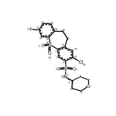 O=S(=O)(NC1CCOCC1)c1cc2c(cc1Cl)CCc1ccc(F)cc1S2(=O)=O